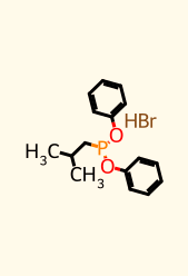 Br.CC(C)CP(Oc1ccccc1)Oc1ccccc1